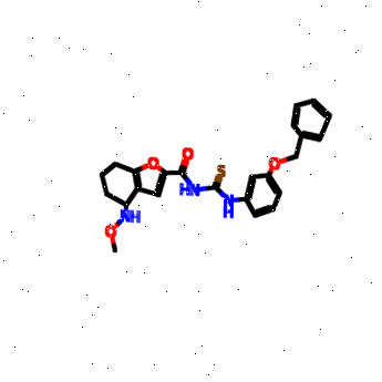 CONC1CCCc2oc(C(=O)NC(=S)Nc3cccc(OCc4ccccc4)c3)cc21